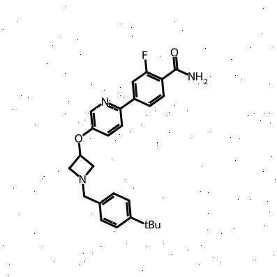 CC(C)(C)c1ccc(CN2CC(Oc3ccc(-c4ccc(C(N)=O)c(F)c4)nc3)C2)cc1